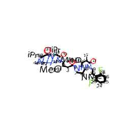 CC[C@H](C)C([C@@H](CC(=O)N1C[C@@H](NC)C[C@H]1[C@H](OC)[C@@H](C)C(=O)NCCc1c(F)cccc1F)OC)N(C)C(=O)[C@@H](NC(=O)[C@H](C(C)C)N(C)C)C(C)C